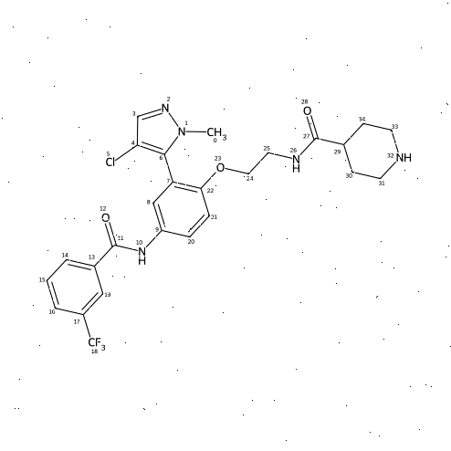 Cn1ncc(Cl)c1-c1cc(NC(=O)c2cccc(C(F)(F)F)c2)ccc1OCCNC(=O)C1CCNCC1